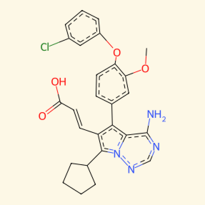 COc1cc(-c2c(C=CC(=O)O)c(C3CCCC3)n3ncnc(N)c23)ccc1Oc1cccc(Cl)c1